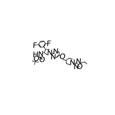 CCc1nc(N2CCC(COc3cnc(N4C[C@H](NC(=O)OC(C)(C)C)[C@@H](c5cc(F)ccc5F)C4)nc3)CC2)no1